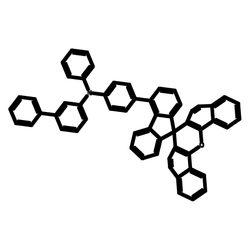 c1ccc(-c2cccc(N(c3ccccc3)c3ccc(-c4cccc5c4-c4ccccc4C54c5ccc6ccccc6c5Oc5c4ccc4ccccc54)cc3)c2)cc1